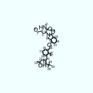 CNC(=O)C(CCC=O)N1Cc2c(OCc3cccc(CN(CC(C)O)CC(C)(C)C)c3F)cccc2C1=O